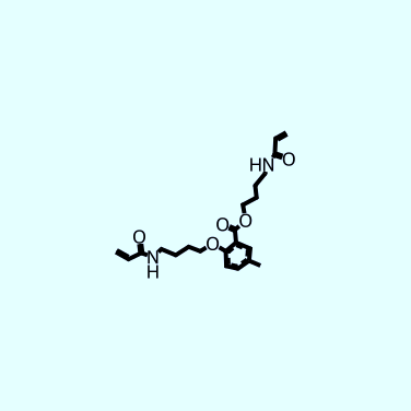 C=CC(=O)NCCCCOC(=O)c1cc(C)ccc1OCCCCNC(=O)C=C